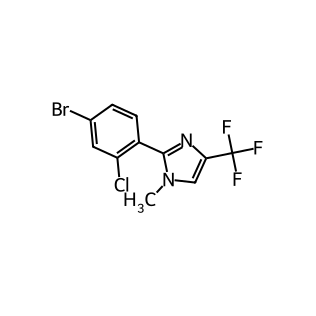 Cn1cc(C(F)(F)F)nc1-c1ccc(Br)cc1Cl